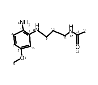 COc1ccc(N)c(NCCCNC(C)=O)c1